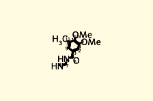 COc1cc(C(=O)NC=N)cc(C)c1OC